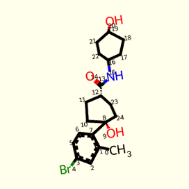 Cc1cc(Br)ccc1[C@]1(O)CC[C@H](C(=O)NC2CCC(O)CC2)CC1